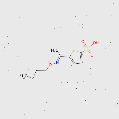 CCCCON=C(C)c1ccc(S(=O)(=O)O)s1